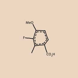 COc1ccc(C(=O)O)c(C)c1F